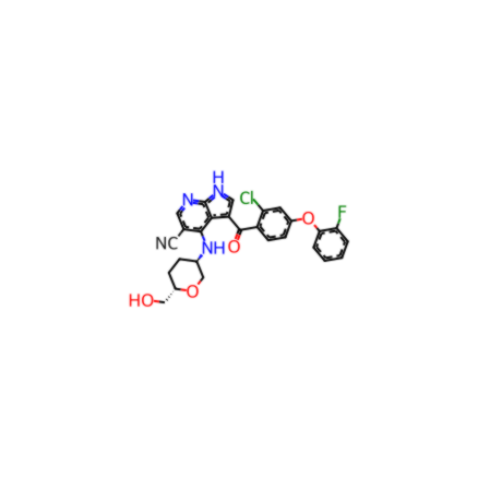 N#Cc1cnc2[nH]cc(C(=O)c3ccc(Oc4ccccc4F)cc3Cl)c2c1N[C@@H]1CC[C@@H](CO)OC1